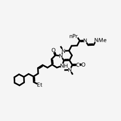 CC/C=C(\C/C=C\CC1=CC(=O)N2C(=C(C(=C=O)N(C)C)CC(CC/C(CCC)=N\C=C/NC)N2C)NC1)CC1CCCCC1